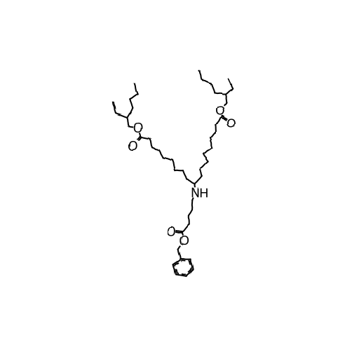 CCCCC(CC)COC(=O)CCCCCCCCC(CCCCCCCCC(=O)OCC(CC)CCCC)NCCCCC(=O)OCc1ccccc1